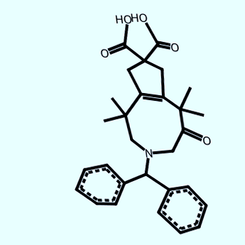 CC1(C)CN(C(c2ccccc2)c2ccccc2)CC(=O)C(C)(C)C2=C1CC(C(=O)O)(C(=O)O)C2